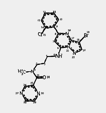 CN(CCCNc1cc(-c2ccccc2Cl)nc2c(Br)cnn12)C(=O)c1cnccn1